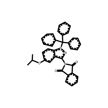 CC(C)Oc1ccc2c(c1)c(N1C(=O)c3ccccc3C1=O)nn2C(c1ccccc1)(c1ccccc1)c1ccccc1